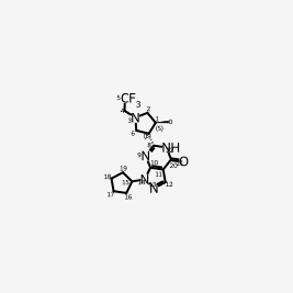 C[C@@H]1CN(CC(F)(F)F)C[C@H]1c1nc2c(cnn2C2CCCC2)c(=O)[nH]1